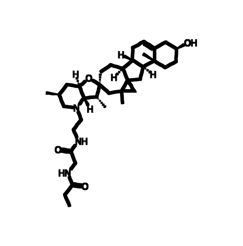 CCC(=O)NCC(=O)NCCN1C[C@@H](C)C[C@H]2O[C@]3(CC[C@H]4[C@@H]5CC=C6C[C@@H](O)CC[C@]6(C)[C@H]5CC45CC5(C)C3)[C@H](C)[C@@H]21